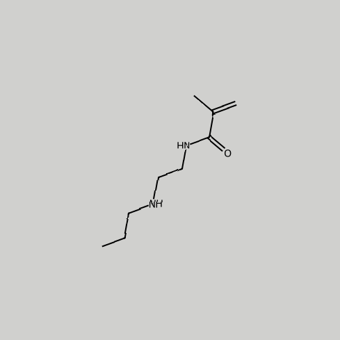 C=C(C)C(=O)NCCNCCC